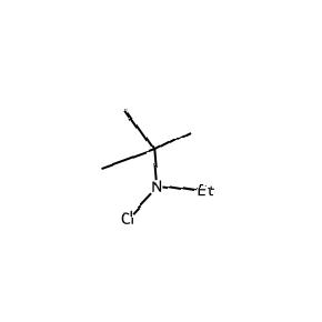 CCN(Cl)C(C)(C)C